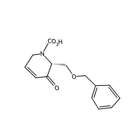 O=C1C=CCN(C(=O)O)[C@@H]1COCc1ccccc1